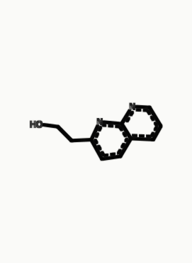 OCCc1ccc2cccnc2n1